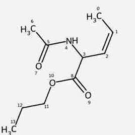 C/C=C\C(NC(C)=O)C(=O)OCCC